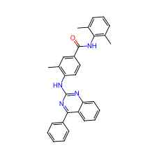 Cc1cc(C(=O)Nc2c(C)cccc2C)ccc1Nc1nc(-c2ccccc2)c2ccccc2n1